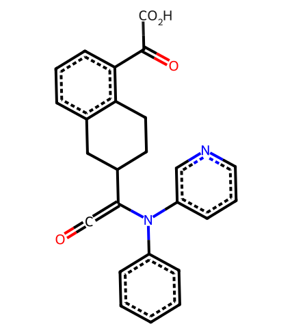 O=C=C(C1CCc2c(cccc2C(=O)C(=O)O)C1)N(c1ccccc1)c1cccnc1